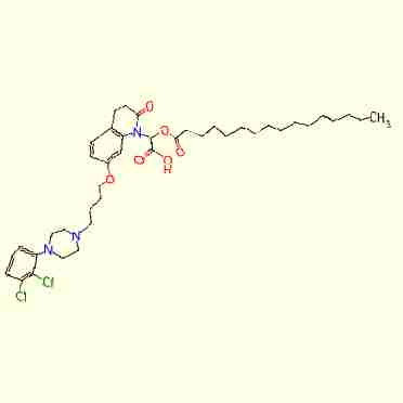 CCCCCCCCCCCCCCCC(=O)OC(C(=O)O)N1C(=O)CCc2ccc(OCCCCN3CCN(c4cccc(Cl)c4Cl)CC3)cc21